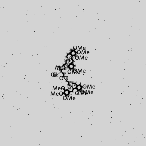 COc1cc(CC2c3c(cc(OC)c(OC)c3OC)CC[N+]2(C)CCCOC(=O)CCC(=O)OCCC[N+]2(C)CCc3cc(OC)c(OC)c(OC)c3C2Cc2cc(OC)c(OC)c(OC)c2)cc(OC)c1OC.[Cl-].[Cl-]